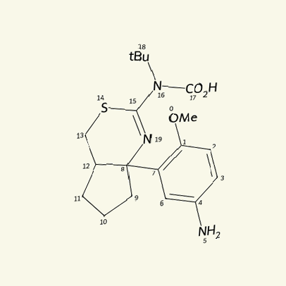 COc1ccc(N)cc1C12CCCC1CSC(N(C(=O)O)C(C)(C)C)=N2